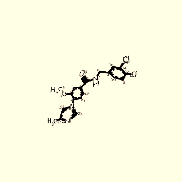 COc1cc(C(=O)NCc2ccc(Cl)c(Cl)c2)ccc1-n1cnc(C)c1